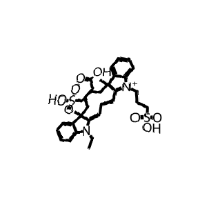 CCN1/C(=C/C=C/C2=[N+](CCCS(=O)(=O)O)c3ccccc3C2(C)CCCS(=O)(=O)O)C(C)(CCCC(=O)O)c2ccccc21